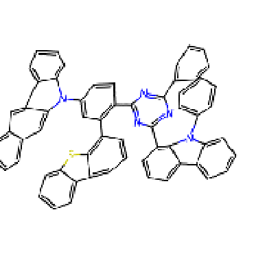 c1ccc(-c2nc(-c3ccc(-n4c5ccccc5c5cc6ccccc6cc54)cc3-c3cccc4c3sc3ccccc34)nc(-c3cccc4c5ccccc5n(-c5ccccc5)c34)n2)cc1